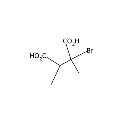 CC(C(=O)O)C(C)(Br)C(=O)O